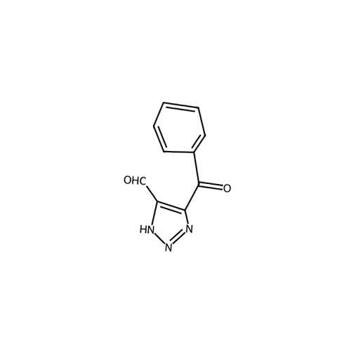 O=Cc1[nH]nnc1C(=O)c1ccccc1